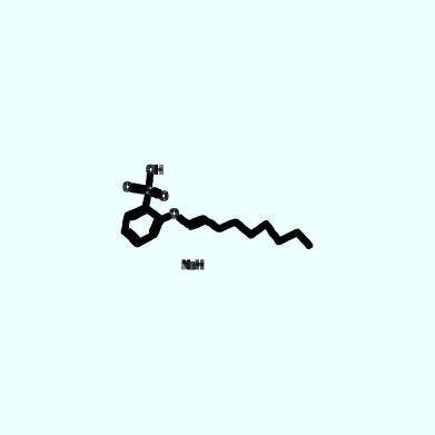 CCCCCCCC=COc1ccccc1S(=O)(=O)O.[NaH]